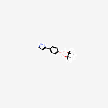 CC1(C)OB(c2ccc(-c3ccn[nH]3)cc2)OC1(C)C